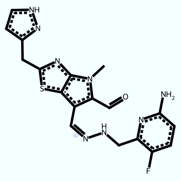 Cn1c(C=O)c(/C=N\NCc2nc(N)ccc2F)c2sc(Cc3cc[nH]n3)nc21